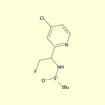 CC(C)(C)[S@+]([O-])NC(CF)c1cc(Cl)ccn1